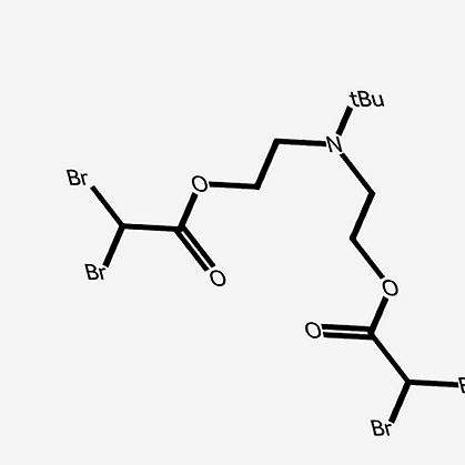 CC(C)(C)N(CCOC(=O)C(Br)Br)CCOC(=O)C(Br)Br